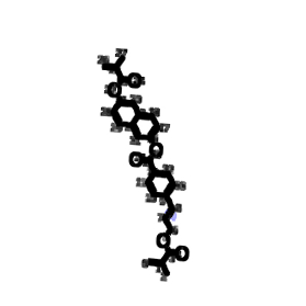 C=C(C)C(=O)OC/C=C/c1ccc(C(=O)Oc2ccc3cc(OC(=O)C(=C)C)ccc3c2)cc1